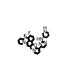 Cc1ccc2c(N(C)c3ccccn3)c(F)ccc2c1Oc1ncccc1-c1ccnc(N[C@H]2CCCNC2)n1